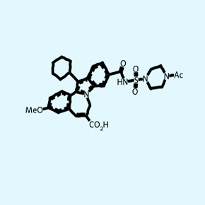 COc1ccc2c(c1)C=C(C(=O)O)Cn1c-2c(C2CCCCC2)c2ccc(C(=O)NS(=O)(=O)N3CCN(C(C)=O)CC3)cc21